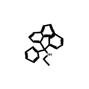 CCNC(c1ccccc1)(c1ccccc1)c1cccc2ccccc12